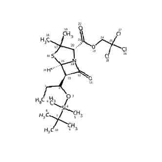 CCC(O[Si](C)(C)C(C)(C)C)[C@@H]1C(=O)N2[C@@H]1SC(C)(C)[C@@H]2C(=O)OCC(Cl)(Cl)Cl